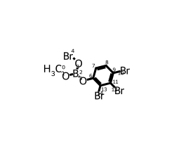 COB(OBr)Oc1ccc(Br)c(Br)c1Br